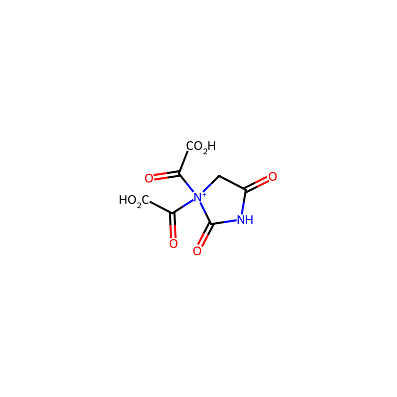 O=C1C[N+](C(=O)C(=O)O)(C(=O)C(=O)O)C(=O)N1